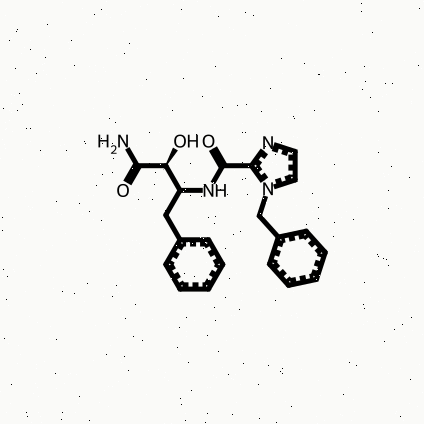 NC(=O)[C@@H](O)C(Cc1ccccc1)NC(=O)c1nccn1Cc1ccccc1